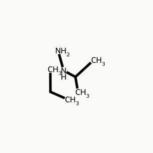 CC(C)NN.CCC